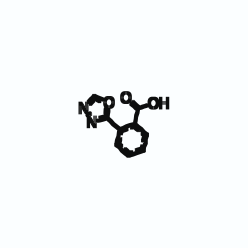 O=C(O)c1ccccc1-c1nnco1